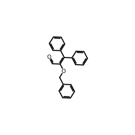 O=CC(OCc1ccccc1)=C(c1ccccc1)c1ccccc1